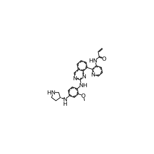 C=CC(=O)Nc1cccnc1-c1cccc2cnc(Nc3ccc(N[C@H]4CCNC4)cc3OC)nc12